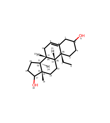 CC[C@]12CCC(O)CC1=CC[C@@H]1[C@H]2CC[C@]2(C)C(O)CC[C@@H]12